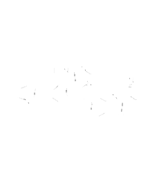 C=C(C#N)C(=O)Nc1cccc(Oc2ncnc(N)c2-c2ccc(Oc3ccccn3)cc2)c1